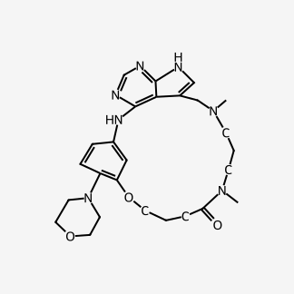 CN1CCCN(C)C(=O)CCCOc2cc(ccc2N2CCOCC2)Nc2ncnc3[nH]cc(c23)C1